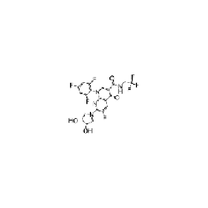 O=C(NCC(F)(F)F)c1cn(-c2c(F)cc(F)cc2F)c2nc(N3C[C@@H](O)[C@H](O)C3)c(F)cc2c1=O